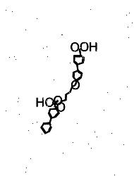 O=C(O)c1ccc(-c2ccc(OCCCCCOC3(C(=O)O)C=CC(c4ccccc4)=CC3)cc2)cc1